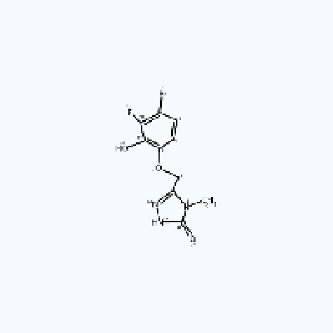 Cn1c(COc2ccc(Br)c(F)c2O)n[nH]c1=O